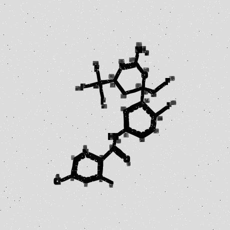 Cc1cc(Cl)cnc1C(=O)Nc1ccc(F)c([C@]2(CF)C[C@@H](C(F)(F)F)N=C(N)O2)c1